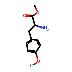 COC(=O)C(N)Cc1ccc(OCl)cc1